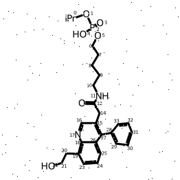 CC(C)OP(=O)(O)OCCCCCNC(=O)Cc1cnc2c(CCO)cccc2c1-c1ccccc1